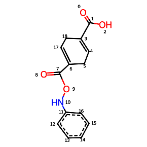 O=C(O)C1=CCC(C(=O)ONc2ccccc2)=CC1